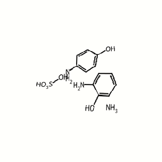 N.Nc1ccc(O)cc1.Nc1ccccc1O.O=S(=O)(O)O